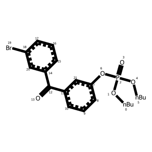 CCCCOP(=O)(OCCCC)Oc1cccc(C(=O)c2cccc(Br)c2)c1